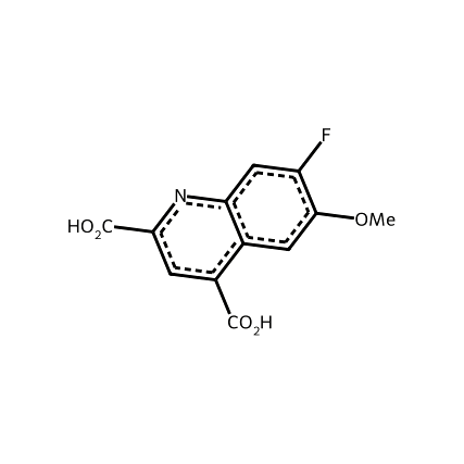 COc1cc2c(C(=O)O)cc(C(=O)O)nc2cc1F